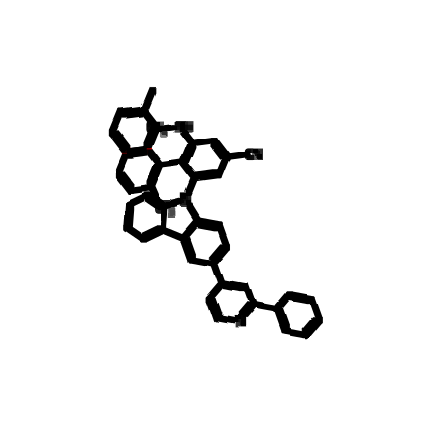 Cc1ccccc1Nc1cc(C#N)cc(-n2c3ccccc3c3cc(-c4ccnc(-c5ccccc5)c4)ccc32)c1-c1c(C(F)(F)F)cccc1C(F)(F)F